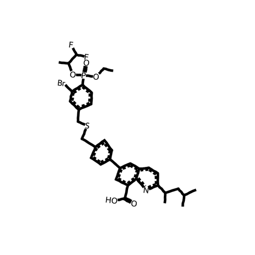 CCOP(=O)(OC(C)C(F)F)c1ccc(CSCc2ccc(-c3cc(C(=O)O)c4nc(C(C)CC(C)C)ccc4c3)cc2)cc1Br